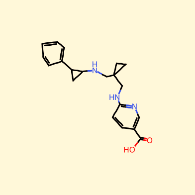 O=C(O)c1ccc(NCC2(CNC3CC3c3ccccc3)CC2)nc1